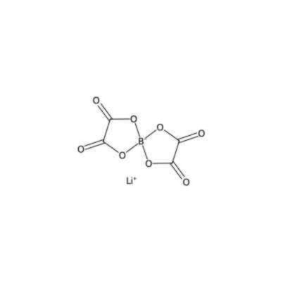 O=C1O[B-]2(OC1=O)OC(=O)C(=O)O2.[Li+]